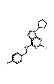 Fc1ccc(CNc2nc(Cl)nc3c2ncn3C2CCCC2)cc1